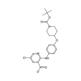 CC(C)(C)OC(=O)N1CCC(Oc2ccc(Nc3ncc(Cl)cc3[N+](=O)[O-])cc2)CC1